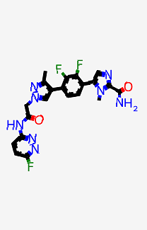 Cc1nn(CC(=O)Nc2ccc(F)nn2)cc1-c1ccc(-c2cnc(C(N)=O)n2C)c(F)c1F